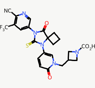 N#Cc1ncc(N2C(=O)C3(CCC3)N(c3ccc(=O)n(CC4CN(C(=O)O)C4)c3)C2=S)cc1C(F)(F)F